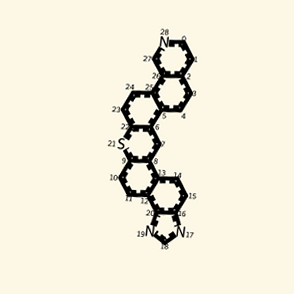 c1cc2ccc3c4cc5c(ccc6c5ccc5ncnc56)sc4ccc3c2cn1